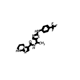 CC(NC(=O)c1cnc2n1CCCN2)c1cnc(Nc2ccc(C(F)(F)F)cc2)s1